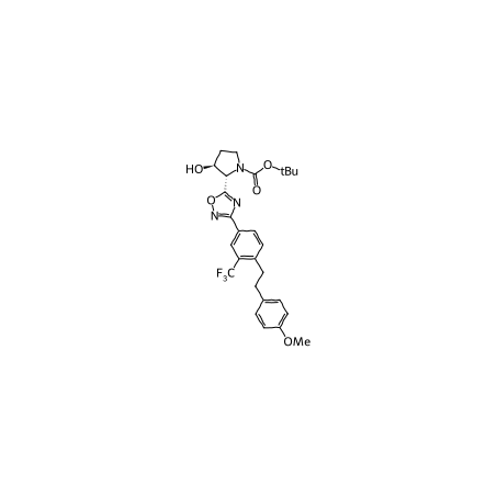 COc1ccc(CCc2ccc(-c3noc([C@@H]4[C@@H](O)CCN4C(=O)OC(C)(C)C)n3)cc2C(F)(F)F)cc1